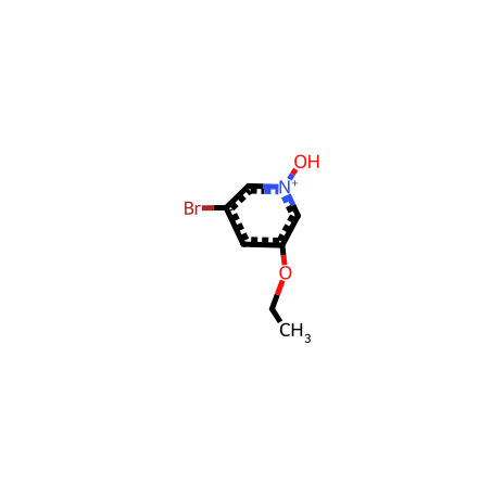 CCOc1cc(Br)c[n+](O)c1